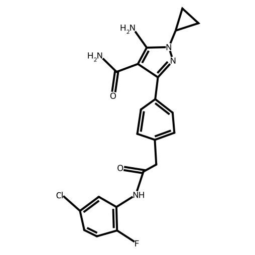 NC(=O)c1c(-c2ccc(CC(=O)Nc3cc(Cl)ccc3F)cc2)nn(C2CC2)c1N